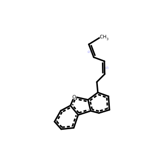 C/C=C\C=C/Cc1cccc2c1oc1ccccc12